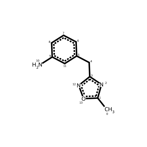 Cc1nc(Cc2cccc(N)c2)no1